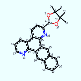 CC1(C)OB(c2ccc3c4cccnc4c4cc5ccccc5cc4c3n2)OC1(C)C